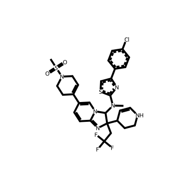 CN(c1nc(-c2ccc(Cl)cc2)cs1)C1N2C=C(C3=CCN(S(C)(=O)=O)CC3)C=CC2=NC1(CC(F)(F)F)C1C=CNCC1